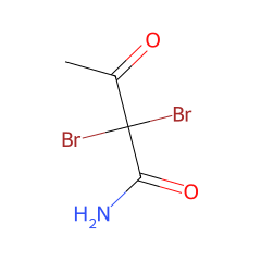 CC(=O)C(Br)(Br)C(N)=O